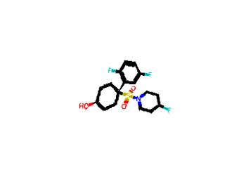 O=S(=O)(N1CCC(F)CC1)[C@]1(c2cc(F)ccc2F)CC[C@@H](O)CC1